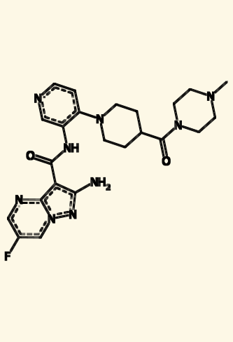 CN1CCN(C(=O)C2CCN(c3ccncc3NC(=O)c3c(N)nn4cc(F)cnc34)CC2)CC1